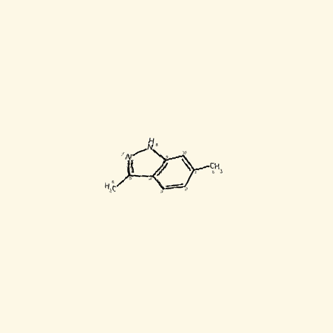 Cc1ccc2c(C)n[nH]c2c1